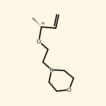 C=C[C@@H](C)OCCN1CCOCC1